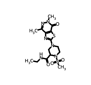 CCNC(=O)C1CN(c2nc3c(C)nn(C)c(=O)c3s2)CCN1S(C)(=O)=O